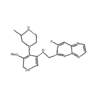 COC1=C(N2CCNC(C)C2)C(NCc2cc3nccnc3cc2F)=CNC1